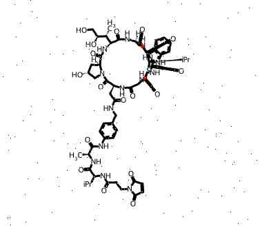 CC(C)C(NC(=O)CCN1C(=O)C=CC1=O)C(=O)N[C@@H](C)C(=O)Nc1ccc(CNC(=O)C[C@@H]2NC(=O)C3CSc4[nH]c5ccccc5c4C[C@H](NC(=O)[C@H]([C@@H](C)[C@@H](O)CO)NC(=O)[C@@H]4C[C@@H](O)CN4C2=O)C(=O)NCC(=O)N[C@@H](C(C)C)C(=O)NCC(=O)N3)cc1